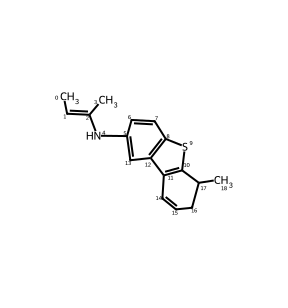 C/C=C(\C)Nc1ccc2sc3c(c2c1)C=CCC3C